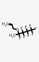 C=CCOC(C)(F)C(F)(F)C(F)(F)C(F)(F)F